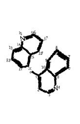 Cc1ccnc2ccccc12.c1ccc2ncccc2c1